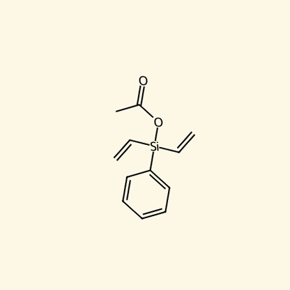 C=C[Si](C=C)(OC(C)=O)c1ccccc1